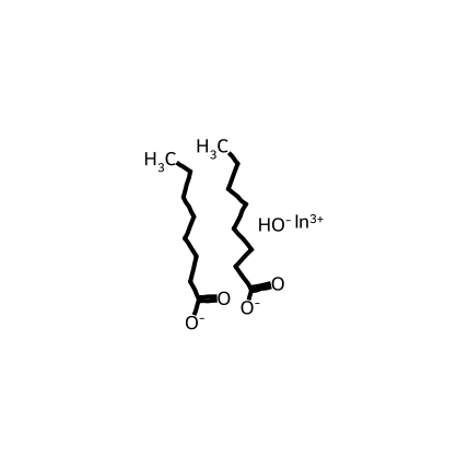 CCCCCCCC(=O)[O-].CCCCCCCC(=O)[O-].[In+3].[OH-]